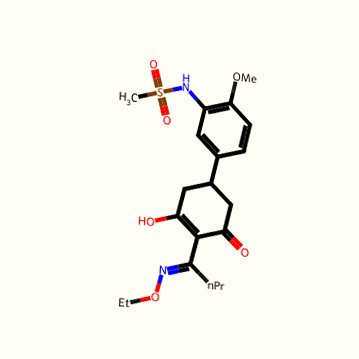 CCC/C(=N\OCC)C1=C(O)CC(c2ccc(OC)c(NS(C)(=O)=O)c2)CC1=O